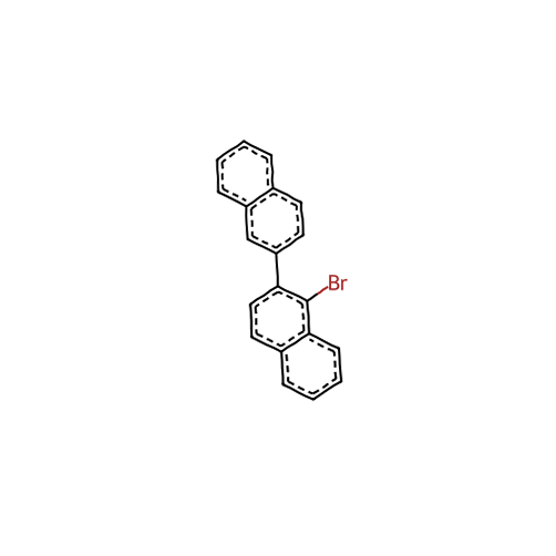 Brc1c(-c2ccc3ccccc3c2)ccc2ccccc12